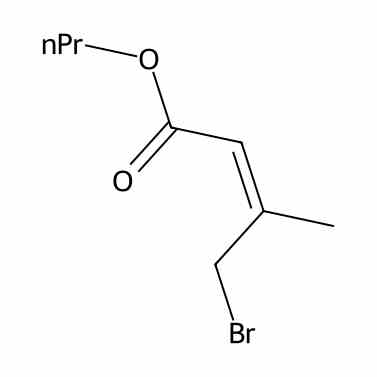 CCCOC(=O)C=C(C)CBr